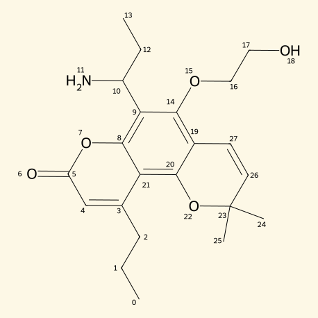 CCCc1cc(=O)oc2c(C(N)CC)c(OCCO)c3c(c12)OC(C)(C)C=C3